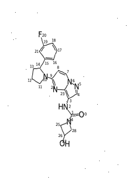 O=C(Nc1cnn2ccc(N3CCCC3c3cccc(F)c3)nc12)N1CC(O)C1